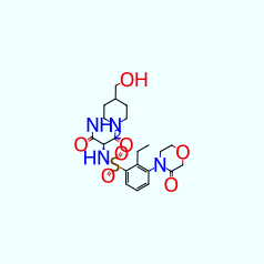 CCc1c(N2CCOCC2=O)cccc1S(=O)(=O)N[C@@H](C(N)=O)C(=O)N1CCC(CO)CC1